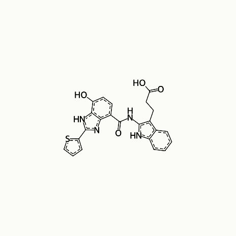 O=C(O)CCc1c(NC(=O)c2ccc(O)c3[nH]c(-c4cccs4)nc23)[nH]c2ccccc12